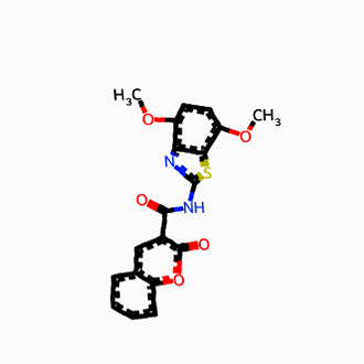 COc1ccc(OC)c2sc(NC(=O)c3cc4ccccc4oc3=O)nc12